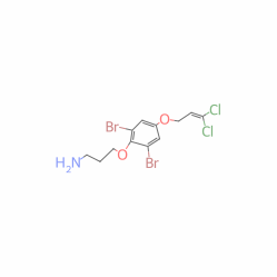 NCCCOc1c(Br)cc(OCC=C(Cl)Cl)cc1Br